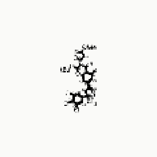 COC1=NO[C@@H](N(C(=O)OC(C)(C)C)C(=O)c2ccc(C3=NO[C@@](c4cc(Cl)c(Cl)c(Cl)c4)(C(F)(F)F)C3)cc2C)C1